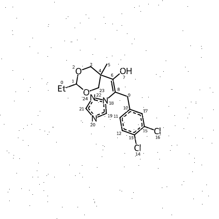 CCC1OCC(C)(C(O)=C(Cc2ccc(Cl)c(Cl)c2)n2cncn2)CO1